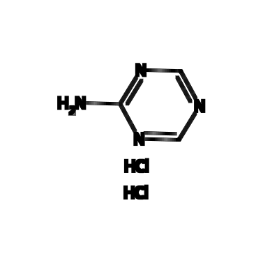 Cl.Cl.Nc1ncncn1